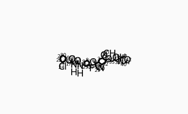 COc1cc2c(Oc3ccc(NC(=O)NC(=O)Cc4ccccc4Cl)cc3F)ccnc2cc1OCC(O)CN1CCOCC1